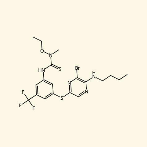 CCCCNc1ncc(Sc2cc(NC(=S)N(C)OCC)cc(C(F)(F)F)c2)nc1Br